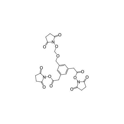 O=C(Cc1cc(COCON2C(=O)CCC2=O)cc(CC(=O)ON2C(=O)CCC2=O)c1)ON1C(=O)CCC1=O